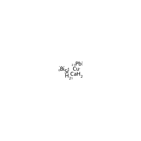 [Bi].[CaH2].[Cu].[Pb].[SrH2]